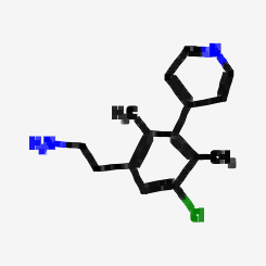 Cc1c(Cl)cc(CCN)c(C)c1-c1ccncc1